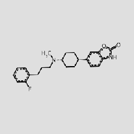 CN(CCCc1ccccc1F)[C@H]1CC[C@H](c2ccc3[nH]c(=O)oc3c2)CC1